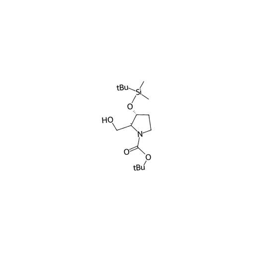 CC(C)(C)OC(=O)N1CC[C@@H](O[Si](C)(C)C(C)(C)C)[C]1CO